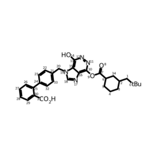 CC(C)(C)CC1CCCC(C(=O)Oc2nnc(O)c3c2ncn3Cc2ccc(-c3ccccc3C(=O)O)cc2)C1